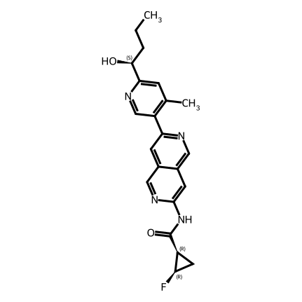 CCC[C@H](O)c1cc(C)c(-c2cc3cnc(NC(=O)[C@H]4C[C@H]4F)cc3cn2)cn1